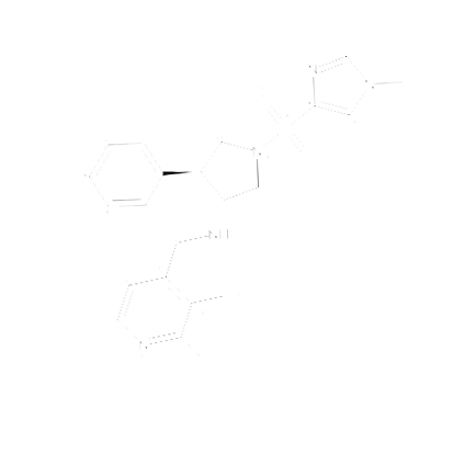 Cn1cnc(S(=O)(=O)N2C[C@H](NCc3ccnc(Cl)c3F)[C@@H](c3ccccc3)C2)c1